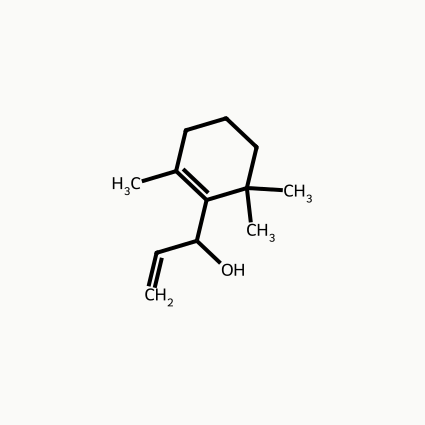 C=CC(O)C1=C(C)CCCC1(C)C